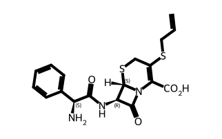 C=CCSC1=C(C(=O)O)N2C(=O)[C@@H](NC(=O)[C@@H](N)c3ccccc3)[C@@H]2SC1